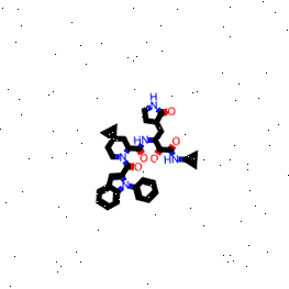 O=C(NC1CC1)C(=O)C(CC1CCNC1=O)NC(=O)C1CC2(CCN1C(=O)c1cc3ccccc3n1-c1ccccc1)CC2